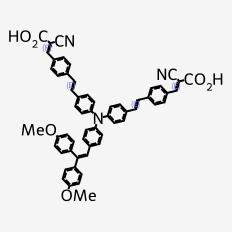 COc1ccc(C(=Cc2ccc(N(c3ccc(/C=C/c4ccc(/C=C(\C#N)C(=O)O)cc4)cc3)c3ccc(/C=C/c4ccc(/C=C(\C#N)C(=O)O)cc4)cc3)cc2)c2ccc(OC)cc2)cc1